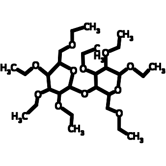 CCOCC1OC(OC2C(COCC)OC(OCC)C(OCC)C2OCC)C(OCC)C(OCC)C1OCC